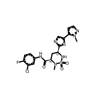 CN1[C@@H](C(=O)Nc2ccc(F)c(Cl)c2)C[C@@H](c2ncc(-c3ccnn3C)s2)NS1(=O)=O